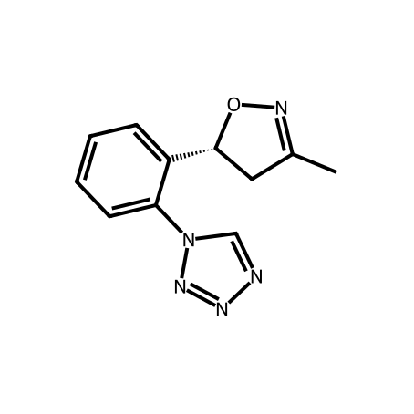 CC1=NO[C@@H](c2ccccc2-n2cnnn2)C1